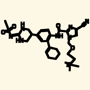 C[Si](C)(C)CCOCn1cc(C#N)nc1C(=O)Nc1ccc(C2CNC(=NS(C)(=O)=O)NC2)cc1C1=CCCCC1